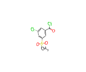 CS(=O)(=O)c1cc(Cl)cc(C(=O)Cl)c1